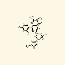 Cc1nc2c(-c3ccc(F)cc3F)nc(N3C[C@@H](c4cnn(C)c4)OC(F)(F)C3)cc2c(=O)n1C